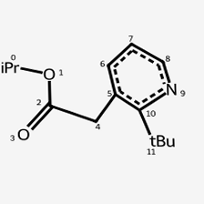 CC(C)OC(=O)Cc1cccnc1C(C)(C)C